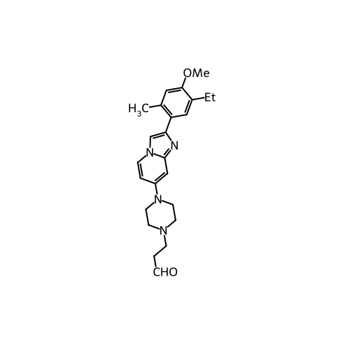 CCc1cc(-c2cn3ccc(N4CCN(CCC=O)CC4)cc3n2)c(C)cc1OC